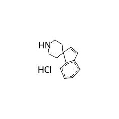 C1=CC2(CCNCC2)c2ccccc21.Cl